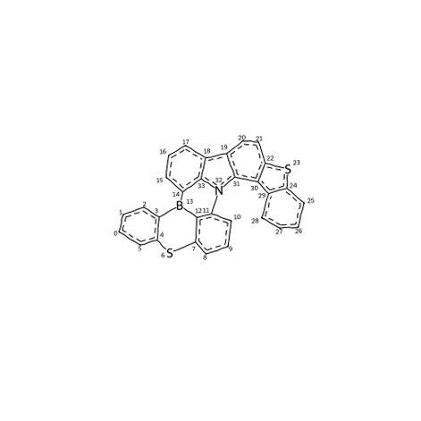 c1ccc2c(c1)Sc1cccc3c1B2c1cccc2c4ccc5sc6ccccc6c5c4n-3c12